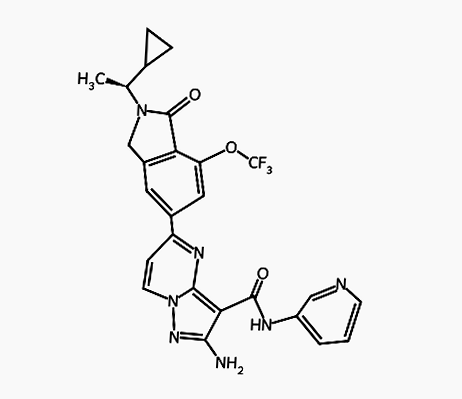 C[C@@H](C1CC1)N1Cc2cc(-c3ccn4nc(N)c(C(=O)Nc5cccnc5)c4n3)cc(OC(F)(F)F)c2C1=O